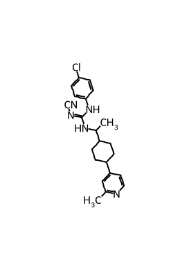 Cc1cc(C2CCC(C(C)N/C(=N/C#N)Nc3ccc(Cl)cc3)CC2)ccn1